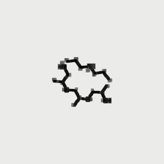 CC(O)COC(C)COC(C)CO.CCCNCCC